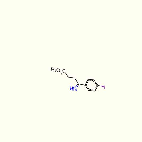 CCOC(=O)CCC(=N)c1ccc(I)cc1